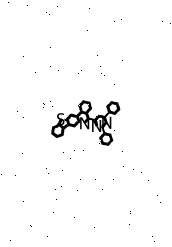 c1ccc(-c2cc(-c3nc4cc5c(cc4c4ccccc34)sc3ccccc35)nc(-c3ccccc3)n2)cc1